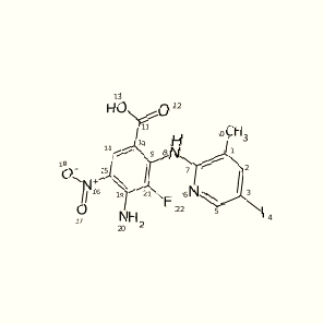 Cc1cc(I)cnc1Nc1c(C(=O)O)cc([N+](=O)[O-])c(N)c1F